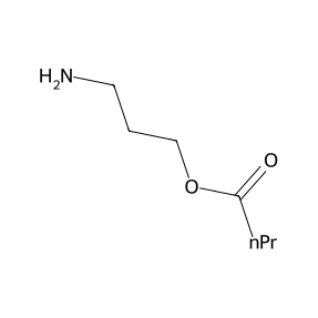 CCCC(=O)OCCCN